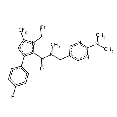 CC(C)Cn1c(C(F)(F)F)cc(-c2ccc(F)cc2)c1C(=O)N(C)Cc1cnc(N(C)C)nc1